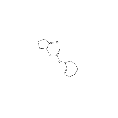 O=C(OC1/C=C/CCCCC1)OC1CCCC1=O